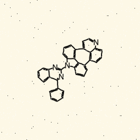 c1ccc(-c2nc(-n3c4cccc5c4c4c(cccc43)-c3ccnc4cccc-5c34)nc3ccccc23)cc1